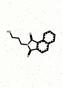 O=C1c2ccc3ccccc3c2C(=O)N1CCCO